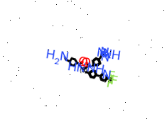 NCC1CCC(C(=O)N[C@@H](Cc2ccc(-c3ccc(C(F)(F)F)nc3)cc2)C(=O)Nc2ccc(-c3nn[nH]n3)cc2)CC1